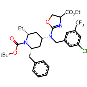 CCOC(=O)C1COC(N(Cc2cc(Cl)cc(C(F)(F)F)c2)[C@H]2C[C@@H](CC)N(C(=O)OC(C)(C)C)[C@@H](Cc3ccccc3)C2)=N1